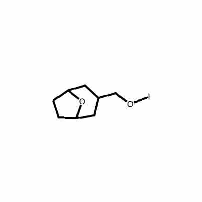 IOCC1CC2CCC(C1)O2